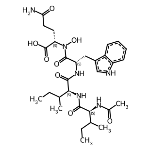 CCC(C)[C@H](NC(C)=O)C(=O)N[C@H](C(=O)N[C@@H](Cc1c[nH]c2ccccc12)C(=O)N(O)[C@@H](CCC(N)=O)C(=O)O)C(C)CC